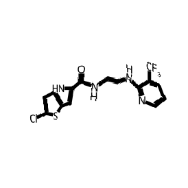 O=C(NCCNc1ncccc1C(F)(F)F)c1cc2sc(Cl)cc2[nH]1